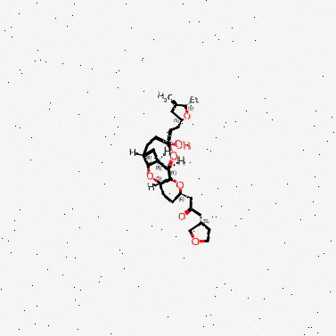 C=C1C[C@H](CC[C@@]2(O)CC[C@@H]3C[C@@H]4C3O[C@H]3CC[C@H](CC(=O)C[C@@H]5CCOC5)OC3[C@@H]4O2)O[C@H]1CC